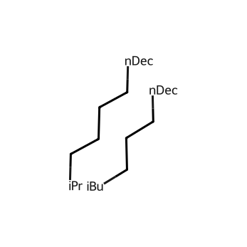 CCCCCCCCCCCCCC(C)CC.CCCCCCCCCCCCCCC(C)C